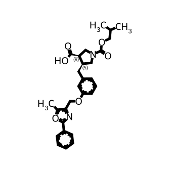 Cc1oc(-c2ccccc2)nc1COc1cccc(C[C@@H]2CN(C(=O)OCC(C)C)C[C@@H]2C(=O)O)c1